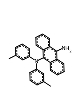 Cc1cccc(N(c2cccc(C)c2)c2c3ccccc3c(N)c3ccccc23)c1